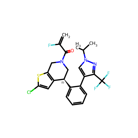 C=C(F)C(=O)N1Cc2sc(Cl)cc2[C@H](c2ccccc2-c2cn(C(C)C)nc2C(F)(F)F)C1